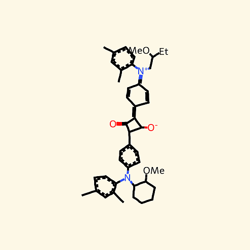 CCC(C[N+](=C1C=CC(=C2C(=O)C(c3ccc(N(c4ccc(C)cc4C)C4CCCCC4OC)cc3)C2[O-])C=C1)c1ccc(C)cc1C)OC